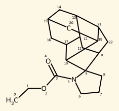 CCOC(=O)N1CCCC12C1CC3C4CC5CC3C2C(C5)C4C1